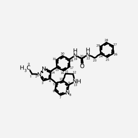 CCn1cc(-c2ccnc3c2CCN3)c(-c2ccc(NC(=O)NCc3ccccc3)cc2)n1